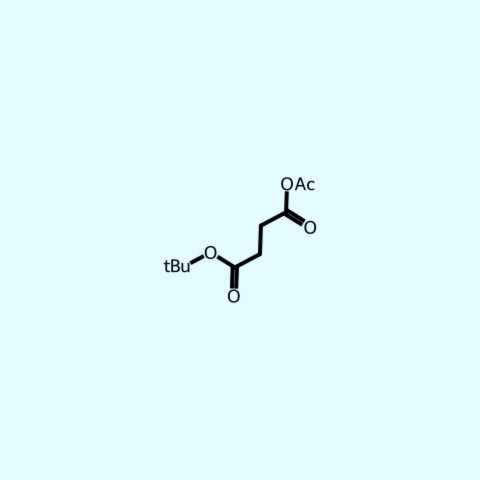 CC(=O)OC(=O)CCC(=O)OC(C)(C)C